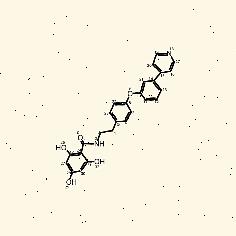 O=C(NCCc1ccc(Oc2cccc(-c3ccncc3)c2)cc1)c1c(O)cc(O)cc1O